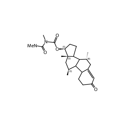 CNC(=O)N(C)C(=O)O[C@H]1CCC2C3C(C4CCC(=O)C=C4C[C@H]3C)[C@@H](C)C[C@@]21C